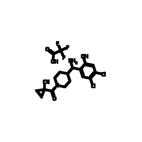 N#CC1(C(=O)N2CCC(C(N)c3cc(Cl)c(Cl)cc3O)CC2)CC1.O=C(O)C(F)(F)F